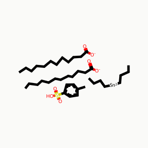 CCCCCCCCCCCC(=O)[O-].CCCCCCCCCCCC(=O)[O-].CCC[CH2][Sn+2][CH2]CCC.Cc1ccc(S(=O)(=O)O)cc1